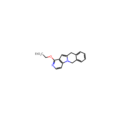 CCOC(=O)COc1nccc2c1cc1n2Cc2ccccc2C1